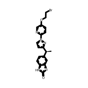 C[C@@H](c1ccc2[nH]c(=O)sc2c1)c1ccn(-c2ccc(OCCBr)cn2)n1